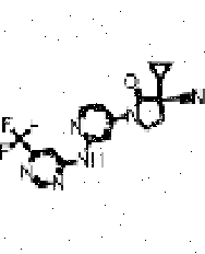 N#C[C@@]1(C2CC2)CCN(c2ccnc(Nc3cc(C(F)(F)F)ncn3)c2)C1=O